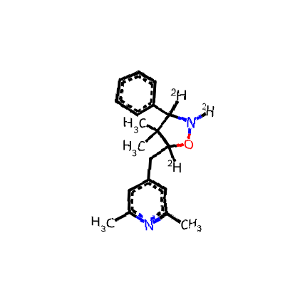 [2H]N1OC([2H])(Cc2cc(C)nc(C)c2)C(C)(C)C1([2H])c1ccccc1